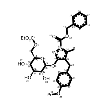 CCOC(=O)OC[C@H]1O[C@@H](Oc2nn(C(=O)OCc3ccccc3)c(C)c2Cc2ccc(OC(C)C)cc2)[C@H](O)[C@@H](O)[C@@H]1O